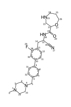 CN1CCN(Cc2ccc(-c3ccc(CC(C#N)NC(=O)C4CNCCCO4)c(F)c3)cc2)CC1